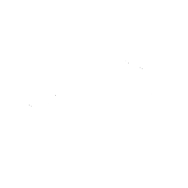 O=C(O)CC1CC1c1cc(CCCc2ccc3c(n2)NCCC3)[nH]n1